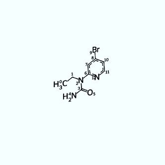 CCN(C(N)=O)c1cc(Br)ccn1